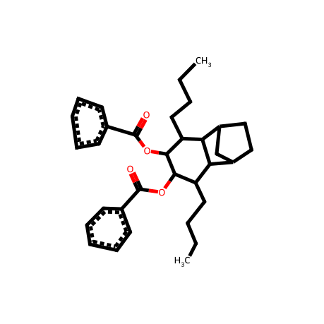 CCCCC1C(OC(=O)c2ccccc2)C(OC(=O)c2ccccc2)C(CCCC)C2C3CCC(C3)C12